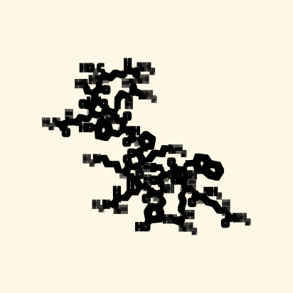 N=C(N)NCCC[C@H](NC(=O)[C@H](CS)NC(=O)[C@H](CCCNC(N)=O)NC(=O)[C@H](CCCNC(=N)N)NC(=O)[C@H](Cc1ccc(O)cc1)NC(=O)[C@@H]1CCCN1C(=O)[C@@H](CCCCN)NC(=O)[C@H](CCCCN)NC(=O)[C@H](CCCNC(=N)N)NC(=O)[C@H](Cc1ccc(O)cc1)NC(=O)[C@H](CS)NC(=O)[C@H](Cc1ccc2ccccc2c1)NC(=O)[C@H](CCCNC(=N)N)NC(=O)[C@@H](N)CCCNC(N)=O)C(=O)O